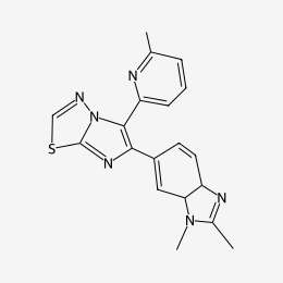 CC1=NC2C=CC(c3nc4scnn4c3-c3cccc(C)n3)=CC2N1C